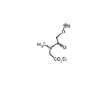 CCOC(=O)CN(C)C(=O)COC(C)(C)C